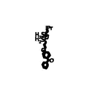 CC(C)C[SiH2]O[SiH2]CCCOc1ccc(C(=O)c2ccccc2)cc1